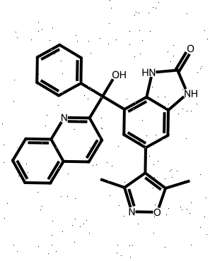 Cc1noc(C)c1-c1cc(C(O)(c2ccccc2)c2ccc3ccccc3n2)c2[nH]c(=O)[nH]c2c1